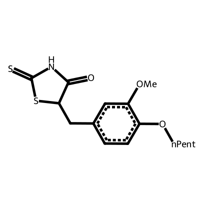 CCCCCOc1ccc(CC2SC(=S)NC2=O)cc1OC